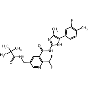 Cc1ccc(-c2[nH]c(NC(=O)c3cc(CNC(=O)C(C)(C)C)cnc3C(F)F)nc2C)cc1F